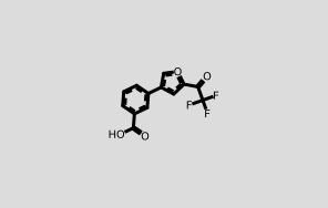 O=C(O)c1cccc(-c2coc(C(=O)C(F)(F)F)c2)c1